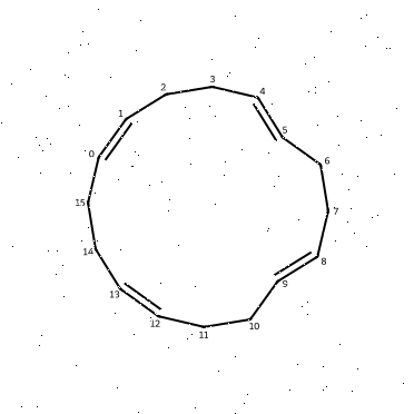 C1=C\CC/C=C/CC/C=C/CC/C=C\CC/1